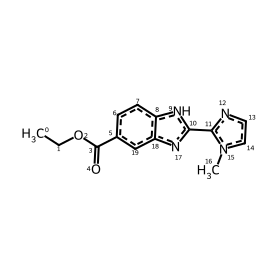 CCOC(=O)c1ccc2[nH]c(-c3nccn3C)nc2c1